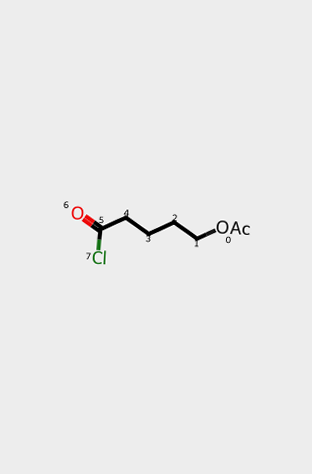 CC(=O)OCCCCC(=O)Cl